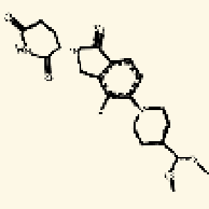 COC(OC)C1CCN(c2ccc3c(c2F)CN([C@H]2CCC(=O)NC2=O)C3=O)CC1